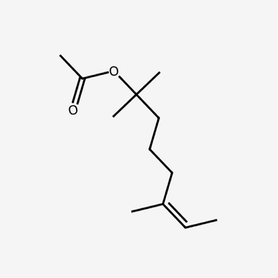 C/C=C(/C)CCCC(C)(C)OC(C)=O